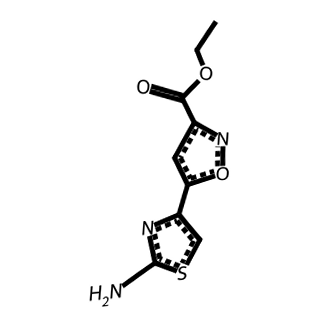 CCOC(=O)c1cc(-c2csc(N)n2)on1